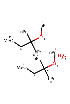 CCCOC(CCC)(CCC)COC.CCCOC(CCC)(CCC)COC.O